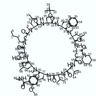 CCCCN1CC(=O)N(C)[C@@H](CC(C)C)C(=O)N[C@@H](COC(C)(C)C)C(=O)N(C)[C@@H](Cc2ccccc2)C(=O)N(C)[C@@H](CC(C)C)C(=O)N[C@H](C(=O)N2CCCCC2)CC(=O)N[C@H](C(C)C)C(=O)N(C)C(C(C)C)C(=O)N[C@@H](Cc2ccc(C(=O)NC)c(OC)c2)C(=O)N(C)[C@@H](CC(C)C)C(=O)N[C@@H]([C@@H](C)O)C1=O